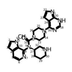 Cn1ccc2ccnc(N(C(=O)N3CCN(c4nc[nH]c5nccc4-5)CC3)[C@@H]3CCCNC3)c21